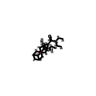 CCOC(=O)N1CC2CC(C1)C2N1C[C@@H]2[C@H](C1)[C@@H]2C(=O)N(CC)CC